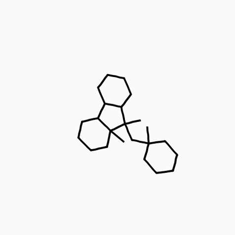 CC1(CC2(C)C3CCCCC3C3CCCCC32C)CCCCC1